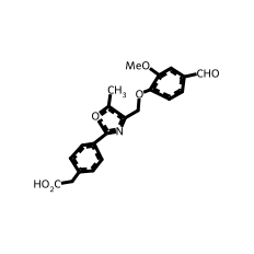 COc1cc(C=O)ccc1OCc1nc(-c2ccc(CC(=O)O)cc2)oc1C